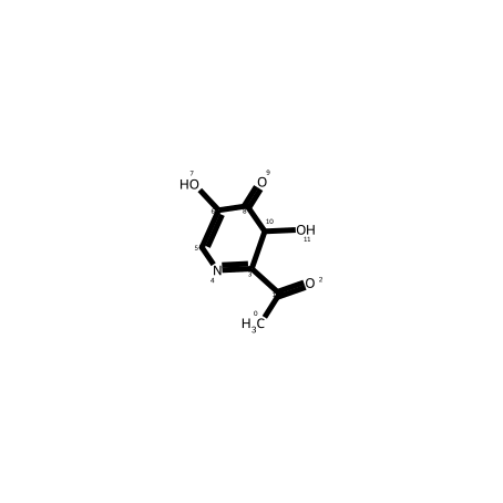 CC(=O)C1=NC=C(O)C(=O)C1O